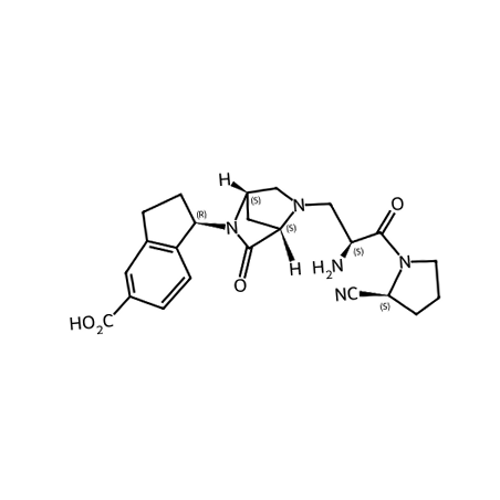 N#C[C@@H]1CCCN1C(=O)[C@@H](N)CN1C[C@@H]2C[C@H]1C(=O)N2[C@@H]1CCc2cc(C(=O)O)ccc21